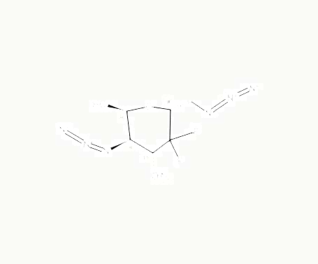 CC(=O)O[C@@H]1[C@@H](N=[N+]=[N-])[C@@H](O)O[C@H](CN=[N+]=[N-])C1(F)F